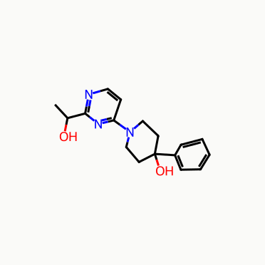 CC(O)c1nccc(N2CCC(O)(c3ccccc3)CC2)n1